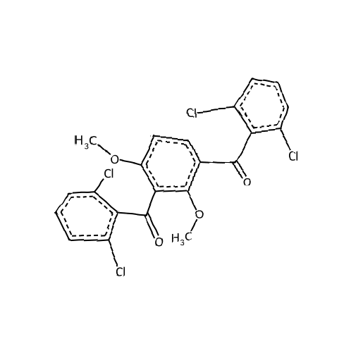 COc1[c]cc(C(=O)c2c(Cl)cccc2Cl)c(OC)c1C(=O)c1c(Cl)cccc1Cl